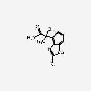 CC(C)(C(N)=O)c1cccc2[nH]c(Cl)nc12